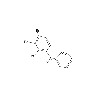 O=C(c1ccccc1)c1ccc(Br)c(Br)c1Br